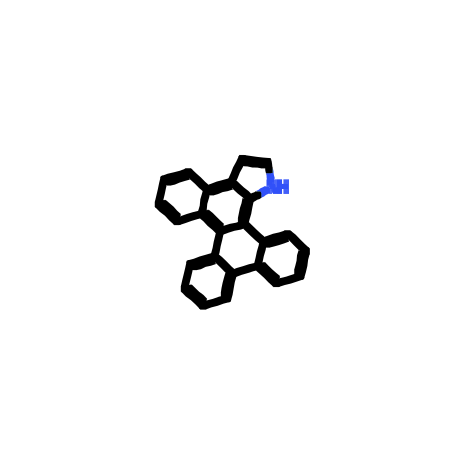 c1ccc2c(c1)c1ccccc1c1c3[nH]ccc3c3ccccc3c21